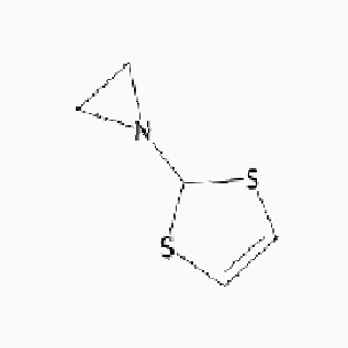 C1=CSC(N2CC2)S1